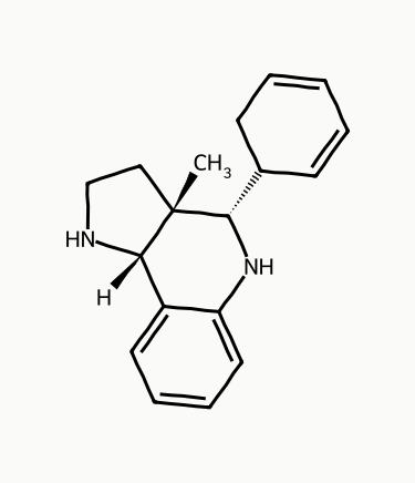 C[C@]12CCN[C@H]1c1ccccc1N[C@H]2C1C=CC=CC1